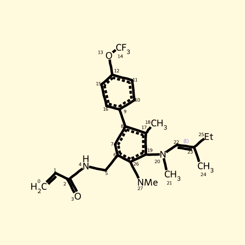 C=CC(=O)NCc1cc(-c2ccc(OC(F)(F)F)cc2)c(C)c(N(C)/C=C(\C)CC)c1NC